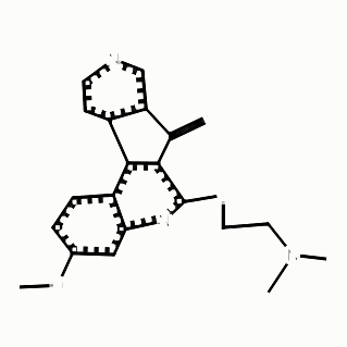 COc1ccc2c3c(c(SCCN(C)C)nc2c1)C(=O)c1cnccc1-3